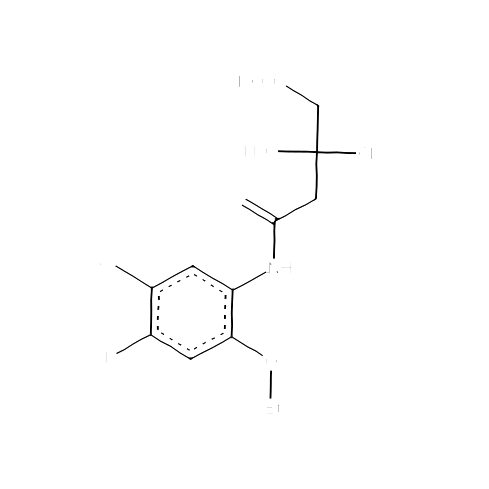 CCOc1cc(F)c(Cl)cc1NC(=O)CC(C)(C)CC(=O)O